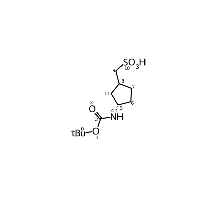 CC(C)(C)OC(=O)N[C@H]1CCC(CS(=O)(=O)O)C1